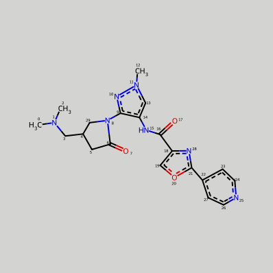 CN(C)CC1CC(=O)N(c2nn(C)cc2NC(=O)c2coc(-c3c[c]ncc3)n2)C1